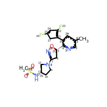 Cc1cnc([C@@H]2CC(N3CC[C@H](NS(C)(=O)=O)C3)=NO2)c(C2=C(F)C=C(F)C2)c1